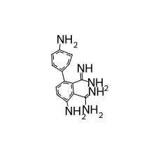 N=C(N)c1c(N)ccc(-c2ccc(N)cc2)c1C(=N)N